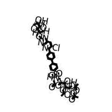 CC(=O)OC[C@@H](OC(C)=O)[C@@H](OC(C)=O)[C@H](O)[C@H](CNS(=O)(=O)c1ccc(-c2ccc(-c3nc4nc(O[C@@H]5CO[C@H]6[C@@H]5OC[C@H]6O)[nH]c4cc3Cl)cc2)cc1)OC(C)=O